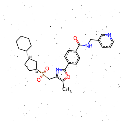 Cc1oc(-c2ccc(C(=O)NCc3cccnc3)cc2)nc1CS(=O)(=O)[C@H]1CC[C@H](C2CCCCC2)C1